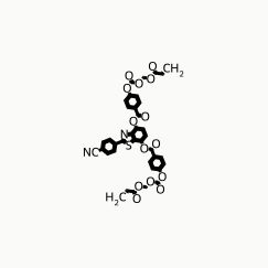 C=CC(=O)OCOC(=O)Oc1ccc(C(=O)Oc2ccc(OC(=O)c3ccc(OC(=O)OCOC(=O)C=C)cc3)c3sc(-c4ccc(C#N)cc4)nc23)cc1